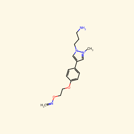 C=NOCCOc1ccc(-c2cn(CCCN)[n+](C)c2)cc1